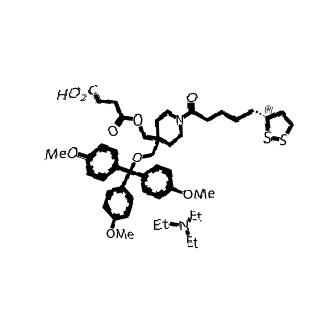 CCN(CC)CC.COc1ccc(C(OCC2(COC(=O)CCC(=O)O)CCN(C(=O)CCCC[C@@H]3CCSS3)CC2)(c2ccc(OC)cc2)c2ccc(OC)cc2)cc1